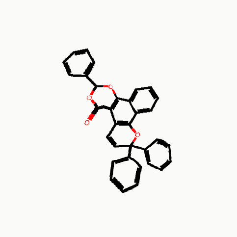 O=C1OC(c2ccccc2)Oc2c1c1c(c3ccccc23)OC(c2ccccc2)(c2ccccc2)C=C1